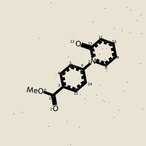 COC(=O)c1ccc(-n2ccccc2=O)cc1